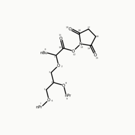 CCCCC(OCC(COCCC)OCCC)C(=O)ON1C(=O)CCC1=O